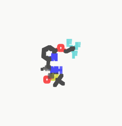 C[C@@H](N[S@+]([O-])C(C)(C)C)c1cccc(OCC(F)(F)F)n1